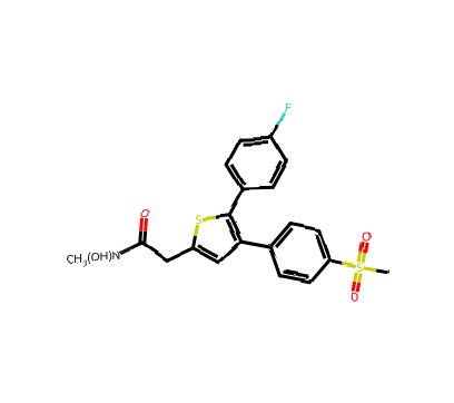 CN(O)C(=O)Cc1cc(-c2ccc(S(C)(=O)=O)cc2)c(-c2ccc(F)cc2)s1